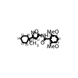 COc1cccc(OC)c1C(=O)Nc1cc(C2(C)CCCCC2)no1